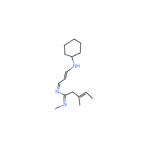 C/C=C(\C)CC(/N=C\C=C\NC1CCCCC1)=N/C